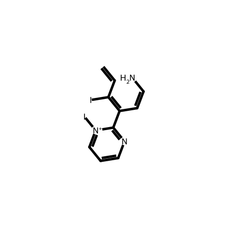 C=C/C(I)=C(\C=C/N)c1nccc[n+]1I